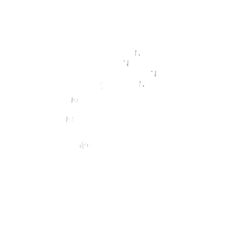 CCCCC(CC)Cc1cc(-c2nncnn2)sc1Br